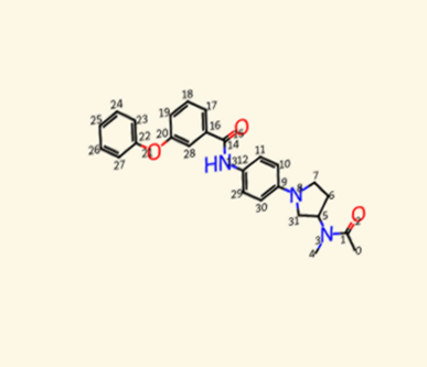 CC(=O)N(C)C1CCN(c2ccc(NC(=O)c3cccc(Oc4ccccc4)c3)cc2)C1